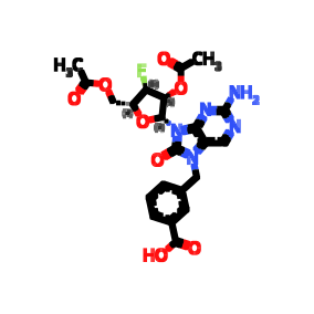 CC(=O)OC[C@H]1O[C@@H](n2c(=O)n(Cc3cccc(C(=O)O)c3)c3cnc(N)nc32)[C@H](OC(C)=O)[C@@H]1F